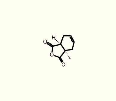 C[C@@]12CC=CC[C@@H]1C(=O)OC2=O